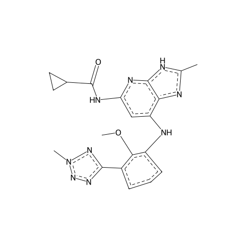 COc1c(Nc2cc(NC(=O)C3CC3)nc3[nH]c(C)nc23)cccc1-c1nnn(C)n1